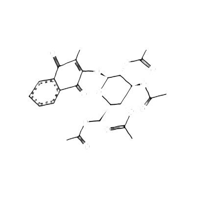 CC(=O)OC[C@H]1O[C@@H](OC2=C(C)C(=O)c3ccccc3C2=O)[C@H](OC(C)=O)[C@@H](OC(C)=O)[C@@H]1OC(C)=O